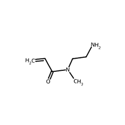 C=CC(=O)N(C)CCN